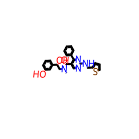 CN(CC(O)c1cccc(O)c1)C(=O)c1cnc(NCc2cccs2)nc1-c1ccccc1